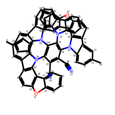 Cc1ccc2c(c1)c1ccc3oc4ccccc4c3c1n2-c1c(C#N)c(C#N)c(-n2c3ccc(C)cc3c3ccc4oc5ccccc5c4c32)c(-n2c3ccccc3c3ccccc32)c1-n1c2ccccc2c2ccccc21